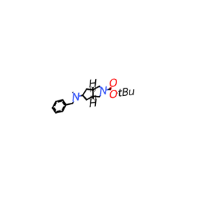 CN(Cc1ccccc1)C1C[C@@H]2CN(C(=O)OC(C)(C)C)C[C@@H]2C1